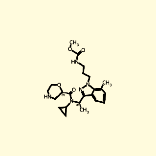 COC(=O)NCCCn1nc([C@@H](C)N(C(=O)[C@H]2CNCCO2)C2CC2)c2cccc(C)c21